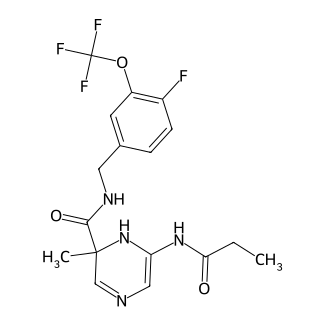 CCC(=O)NC1=CN=CC(C)(C(=O)NCc2ccc(F)c(OC(F)(F)F)c2)N1